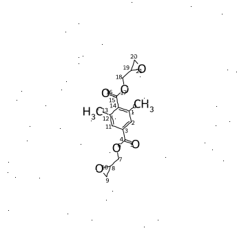 Cc1cc(C(=O)OCC2CO2)cc(C)c1C(=O)OCC1CO1